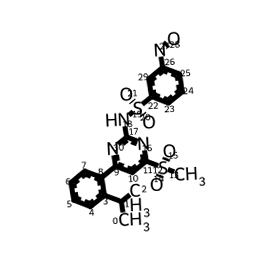 CC(C)c1ccccc1-c1cc(S(C)(=O)=O)nc(NS(=O)(=O)c2cccc(N=O)c2)n1